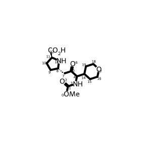 COC(=O)NC(C(=O)C[C@@H]1CC[C@@H](C(=O)O)N1)C1CCOCC1